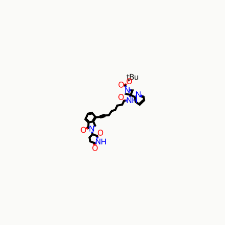 CC(C)(C)OC(=O)N1CC(NC(=O)CCCCCC#Cc2cccc3c2CN(C2CCC(=O)NC2=O)C3=O)(c2ccccn2)C1